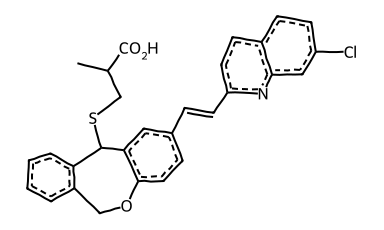 CC(CSC1c2ccccc2COc2ccc(C=Cc3ccc4ccc(Cl)cc4n3)cc21)C(=O)O